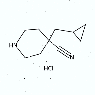 Cl.N#CC1(CC2CC2)CCNCC1